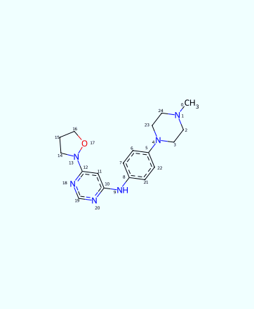 CN1CCN(c2ccc(Nc3cc(N4CCCO4)ncn3)cc2)CC1